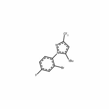 CC(C)(C)c1cc(C(F)(F)F)nn1-c1ccc(F)cc1Br